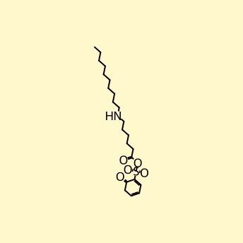 CCCCCCCCCCNCCCCCC(=O)OS(=O)(=O)C1=CC=CCC1=O